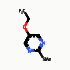 CSc1ncc(OCC(F)(F)F)cn1